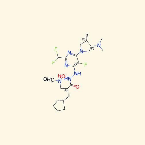 C[C@@H]1CN(c2nc(C(F)F)nc(NNC(=O)[C@H](CC3CCCC3)CN(O)C=O)c2F)C[C@H]1N(C)C